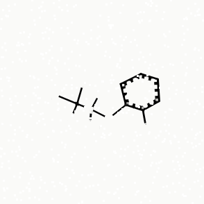 CC(C)(C)[Si](C)(C)Oc1ccccc1O